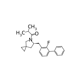 CC(C)C(=O)N1CC2(CC2)C[C@@H]1Cc1cccc(-c2ccccc2)c1F